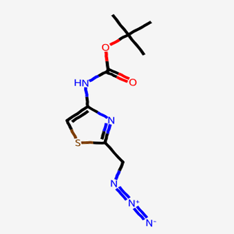 CC(C)(C)OC(=O)Nc1csc(CN=[N+]=[N-])n1